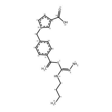 C=C(S/C(=N\N)NCCCC)c1ccc(Cn2ccc(C(=O)O)c2)cc1